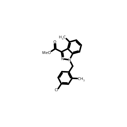 COC(=O)c1nn(Cc2ccc(Cl)cc2C)c2cccc(C)c12